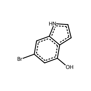 Oc1cc(Br)cc2[nH]ccc12